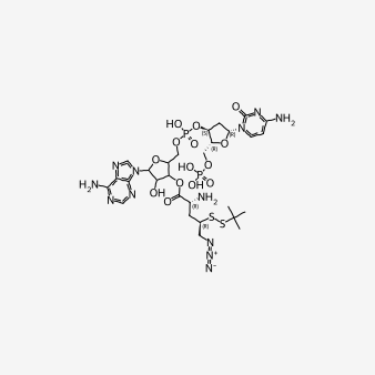 CC(C)(C)SS[C@@H](CN=[N+]=[N-])C[C@@H](N)C(=O)OC1C(COP(=O)(O)O[C@H]2C[C@H](n3ccc(N)nc3=O)O[C@@H]2COP(=O)(O)O)OC(n2cnc3c(N)ncnc32)C1O